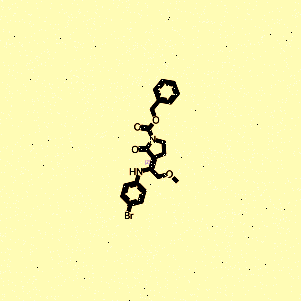 COC/C(Nc1ccc(Br)cc1)=C1\CCN(C(=O)OCc2ccccc2)C1=O